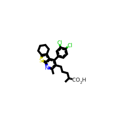 Cc1nc2sc3c(c2c(-c2ccc(Cl)c(Cl)c2)c1CCCC(C)C(=O)O)CCCC3